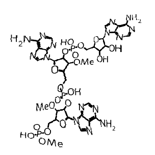 COC1C(COP(=O)(O)OC)OC(n2cnc3c(N)ncnc32)C1OP(=O)(O)OCC1OC(n2cnc3c(N)ncnc32)C(OP(=O)(O)OCC2OC(n3cnc4c(N)ncnc43)C(O)C2O)C1OC